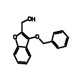 OCc1oc2ccccc2c1OCc1ccccc1